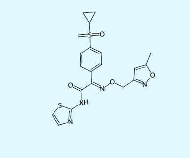 C=S(=O)(c1ccc(/C(=N\OCc2cc(C)on2)C(=O)Nc2nccs2)cc1)C1CC1